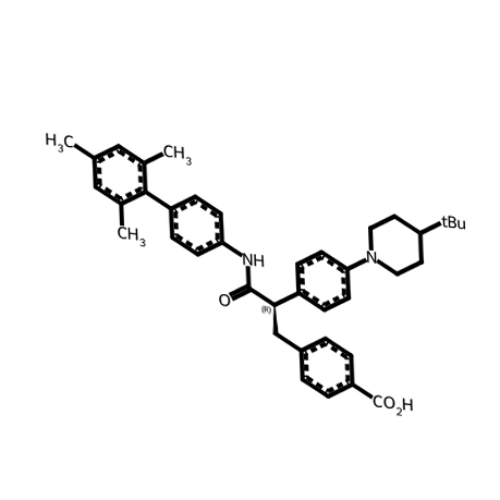 Cc1cc(C)c(-c2ccc(NC(=O)[C@H](Cc3ccc(C(=O)O)cc3)c3ccc(N4CCC(C(C)(C)C)CC4)cc3)cc2)c(C)c1